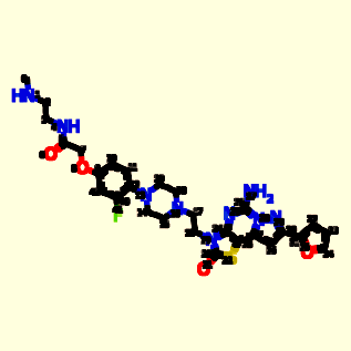 CNCCNC(=O)COc1ccc(N2CCN(CCn3c(=O)sc4c3nc(N)n3nc(-c5ccco5)cc43)CC2)c(F)c1